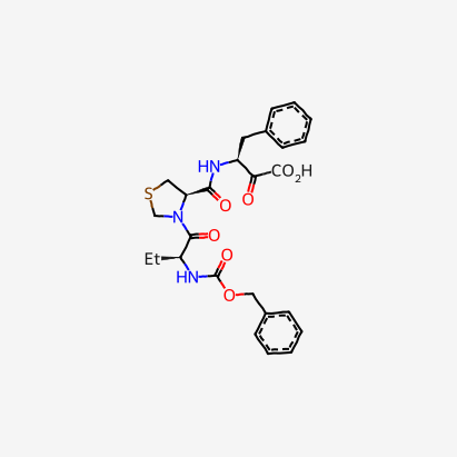 CC[C@H](NC(=O)OCc1ccccc1)C(=O)N1CSC[C@H]1C(=O)N[C@@H](Cc1ccccc1)C(=O)C(=O)O